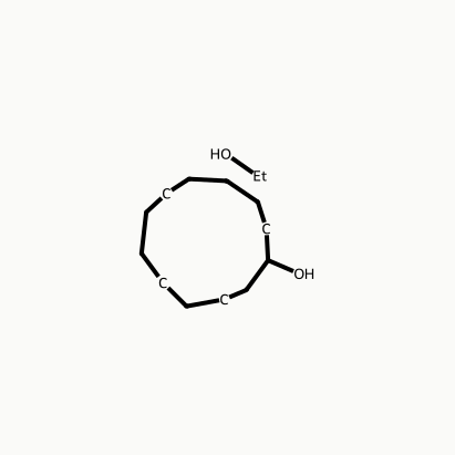 CCO.OC1CCCCCCCCCCC1